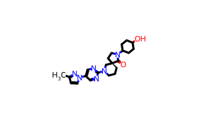 Cc1ccn(-c2cnc(N3CCC[C@]4(CCN(C5CCC(O)CC5)C4=O)C3)nc2)n1